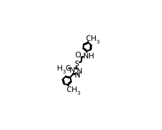 Cc1ccc(NC(=O)CSc2nnc(-c3cccc(C)c3)n2C)cc1